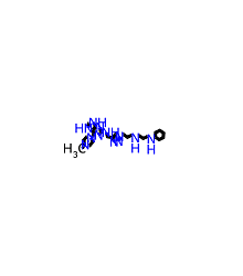 CN1CCN(c2nc(NCc3cn(CCCNCCCNC4CCCCC4)nn3)nc3c2NCN3)CC1